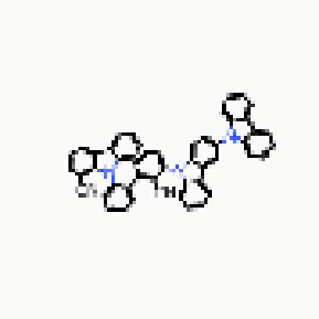 N#Cc1c(-c2ccccc2-n2c3ccccc3c3cccc(C#N)c32)cccc1-n1c2ccccc2c2cc(-n3c4ccccc4c4ccccc43)ccc21